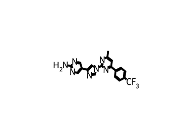 Cc1cc(-c2ccc(C(F)(F)F)cc2)nc(-n2cnc(-c3cnc(N)nc3)c2)n1